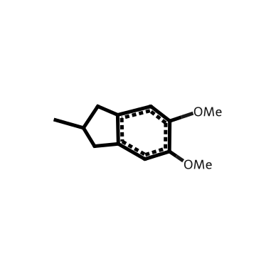 COc1cc2c(cc1OC)CC(C)C2